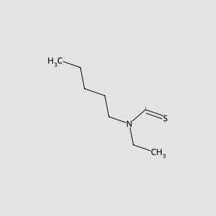 CCCCCN([C]=S)CC